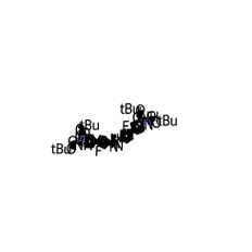 Cn1c(-c2ccc(C3=CCN(/C(=N\C(=O)OC(C)(C)C)NC(=O)OC(C)(C)C)CC3)c(F)c2)nnc1-c1ccc(C2=CCN(/C(=N/C(=O)OC(C)(C)C)NC(=O)OC(C)(C)C)CC2)c(F)c1